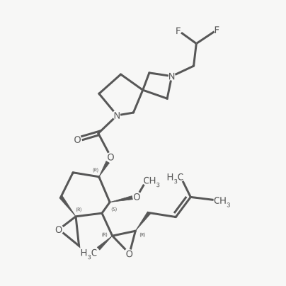 CO[C@H]1C([C@@]2(C)O[C@@H]2CC=C(C)C)[C@]2(CC[C@H]1OC(=O)N1CCC3(CN(CC(F)F)C3)C1)CO2